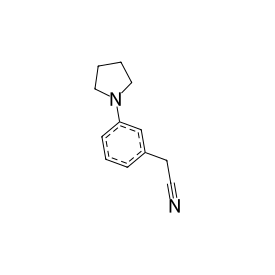 N#CCc1cccc(N2CCCC2)c1